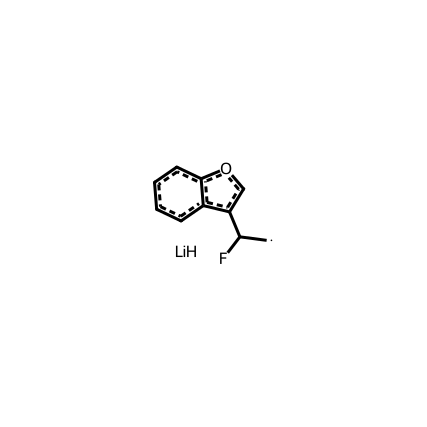 [CH2]C(F)c1coc2ccccc12.[LiH]